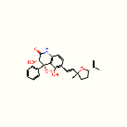 C=C(C)[C@@H]1CC[C@](C)(/C=C/c2ccc3c(c2O)[C@@](O)(c2ccccc2)[C@H](O)C(=O)N3)O1